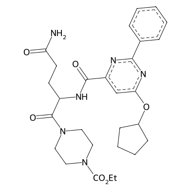 CCOC(=O)N1CCN(C(=O)C(CCC(N)=O)NC(=O)c2cc(OC3CCCC3)nc(-c3ccccc3)n2)CC1